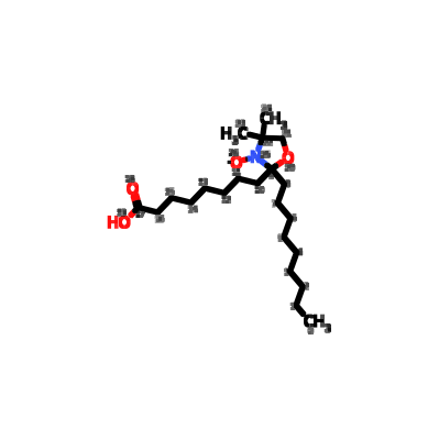 CCCCCCCCCC1(CCCCCCCC(=O)O)OCC(C)(C)N1[O]